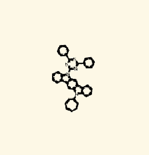 C1=CCC=C(n2c3ccccc3c3cc4c(cc32)c2ccccc2n4-c2nc(-c3ccccc3)nc(-c3ccccc3)n2)C=C1